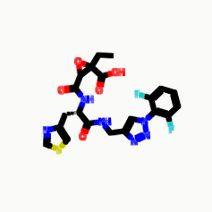 CCC1(C(=O)O)OC1C(=O)N[C@@H](Cc1cscn1)C(=O)NCc1cn(-c2c(F)cccc2F)nn1